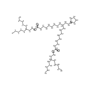 CCCCCC(CCCCC)CCOC(=O)CCCCCCCCC(CCCCCCCCC(=O)OCCC(CCCCC)CCCCC)CCN1CCCC1